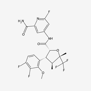 COc1c([C@@H]2[C@H](C(=O)Nc3cc(F)nc(C(N)=O)c3)O[C@](C)(C(F)(F)F)[C@H]2C)ccc(F)c1F